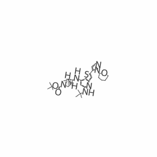 CC(C)(C)Nc1cc(NC2[C@H]3CN(C(=O)OC(C)(C)C)C[C@@H]23)c2sc(-c3ccnn3C3CCCCO3)cc2n1